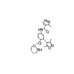 Cc1nnsc1C(=O)Nc1ccc(OC[C@H]2CCCCN2)c(-c2c(C)noc2C)c1